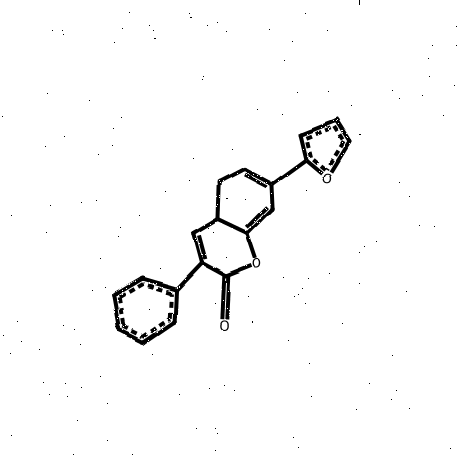 O=C1OC2=CC(c3ccco3)=CCC2C=C1c1ccccc1